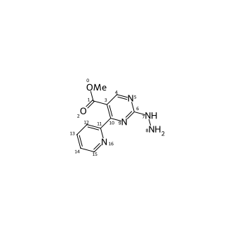 COC(=O)c1cnc(NN)nc1-c1ccccn1